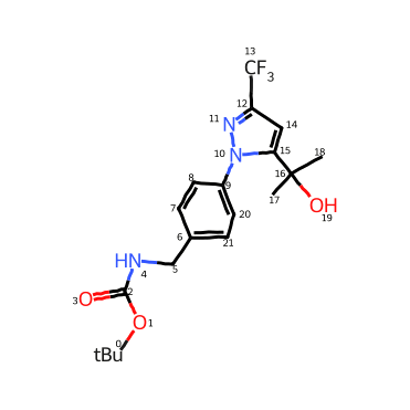 CC(C)(C)OC(=O)NCc1ccc(-n2nc(C(F)(F)F)cc2C(C)(C)O)cc1